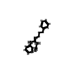 N#CNC(=NCCCc1ccccc1)Nc1cccnc1